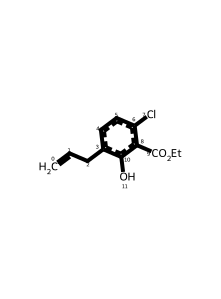 C=CCc1ccc(Cl)c(C(=O)OCC)c1O